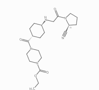 CCOC(=O)N1CCN(C(=O)[C@H]2CC[C@H](NCC(=O)N3CCC[C@H]3C#N)CC2)CC1